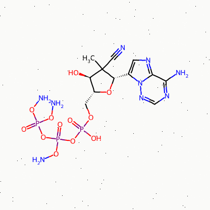 CC1(C#N)[C@H](O)[C@@H](COP(=O)(O)OP(=O)(ON)OP(=O)(ON)ON)O[C@H]1c1cnc2c(N)ncnn12